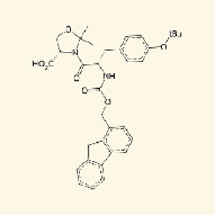 CC(C)(C)Oc1ccc(C[C@H](NC(=O)OCc2cccc3c2Cc2ccccc2-3)C(=O)N2[C@H](C(=O)O)COC2(C)C)cc1